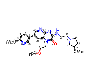 CCCOCCn1c(=O)c(NCCN2CC[C@@H](OC)C2)nc2ncc(-c3ccc(OC)nc3)cc21